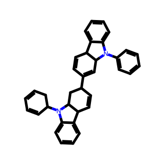 C1=CCC(N2c3ccccc3C3C=CC(C4=CC5C(C=C4)c4ccccc4N5c4ccccc4)CC32)C=C1